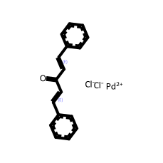 O=C(/C=C/c1ccccc1)/C=C/c1ccccc1.[Cl-].[Cl-].[Pd+2]